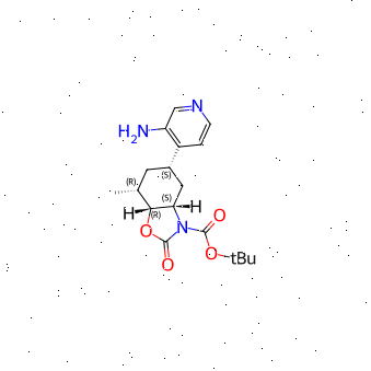 C[C@@H]1C[C@H](c2ccncc2N)C[C@H]2[C@@H]1OC(=O)N2C(=O)OC(C)(C)C